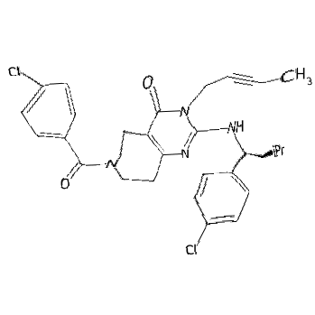 CC#CCn1c(N[C@H](c2ccc(Cl)cc2)C(C)C)nc2c(c1=O)CN(C(=O)c1ccc(Cl)cc1)CC2